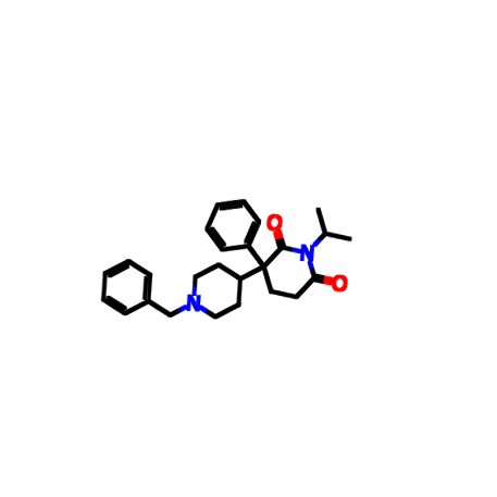 CC(C)N1C(=O)CCC(c2ccccc2)(C2CCN(Cc3ccccc3)CC2)C1=O